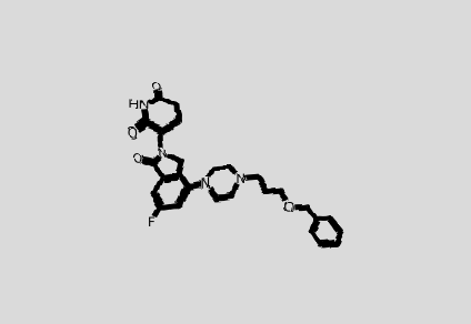 O=C1CCC(N2Cc3c(cc(F)cc3N3CCN(CCCOCc4ccccc4)CC3)C2=O)C(=O)N1